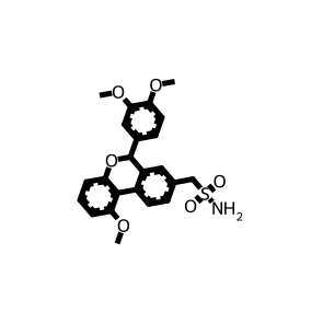 COc1ccc(C2Oc3cccc(OC)c3-c3ccc(CS(N)(=O)=O)cc32)cc1OC